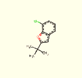 CC(C)(C)c1cc2cccc(Cl)c2o1